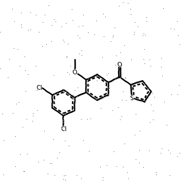 COc1cc(C(=O)c2cccs2)ccc1-c1cc(Cl)cc(Cl)c1